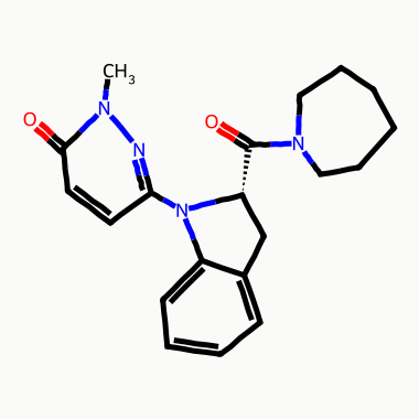 Cn1nc(N2c3ccccc3C[C@H]2C(=O)N2CCCCCC2)ccc1=O